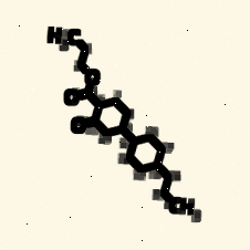 CCCOC(=O)C1CCC(C2CCC(CCC)CC2)CC1=O